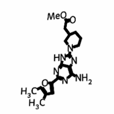 COC(=O)CC1CCCN(c2nc3c(N)nc(-c4cc(C)c(C)o4)nc3[nH]2)C1